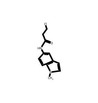 Cn1ccc2cc(NC(=O)CCCl)ccc21